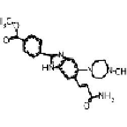 COC(=O)c1ccc(-c2nc3cc(N4CCN(C)CC4)c(/C=C/C(N)=O)cc3[nH]2)cc1